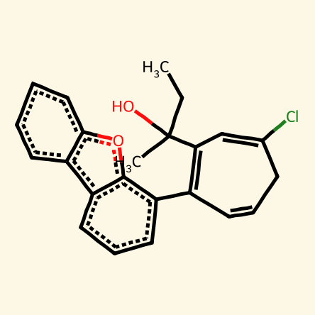 CCC(C)(O)C1=C(c2cccc3c2oc2ccccc23)C=CCC(Cl)=C1